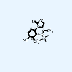 C[Si](C)(C)OC([C@H]1COC(=O)N1c1ccc(C#N)c(C(F)(F)F)c1)C(F)(F)F